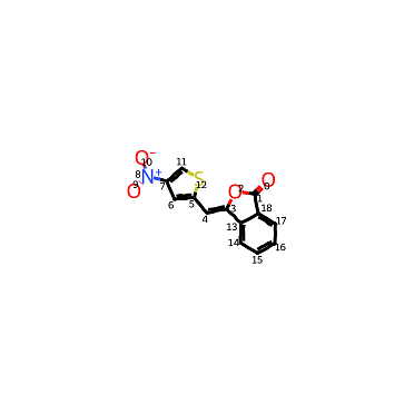 O=C1OC(=Cc2cc([N+](=O)[O-])cs2)c2ccccc21